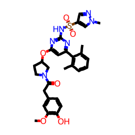 COc1cc(CC(=O)N2CCC(Oc3cc(-c4c(C)cccc4C)nc(NS(=O)(=O)c4cnn(C)c4)n3)C2)ccc1O